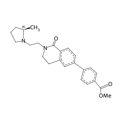 COC(=O)c1ccc(-c2ccc3c(c2)CCN(CCN2CCC[C@H]2C)C3=O)cc1